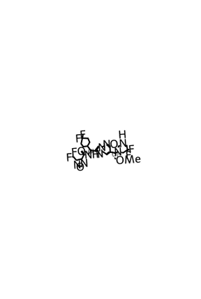 COC[C@H](c1cnn2cc([C@@H](NC(=O)c3nonc3C(F)F)C3CCC(F)(F)CC3)nc2c1)N1CC(F)(F)CNC1=O